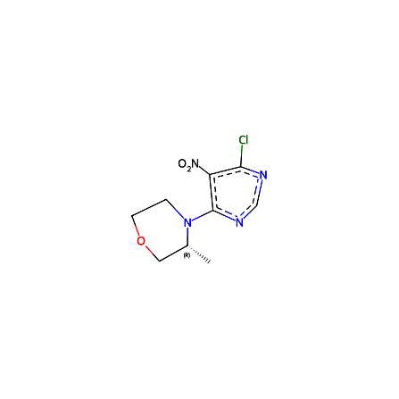 C[C@@H]1COCCN1c1ncnc(Cl)c1[N+](=O)[O-]